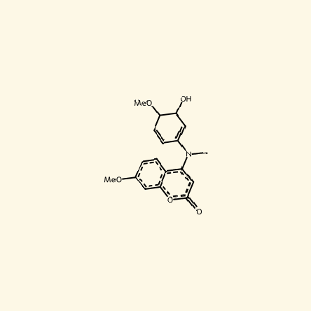 COc1ccc2c(N(C)C3=CC(O)C(OC)C=C3)cc(=O)oc2c1